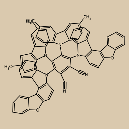 Cc1ccc2c(c1)c1cc(C)ccc1n2-c1c(-n2c3ccc(C)cc3c3cc(C)ccc32)c(-n2c3ccccc3c3c4c(ccc32)oc2ccccc24)c(C#N)c(C#N)c1-n1c2ccccc2c2c3c(ccc21)oc1ccccc13